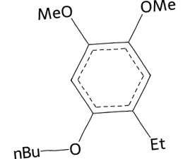 CCCCOc1cc(OC)c(OC)cc1CC